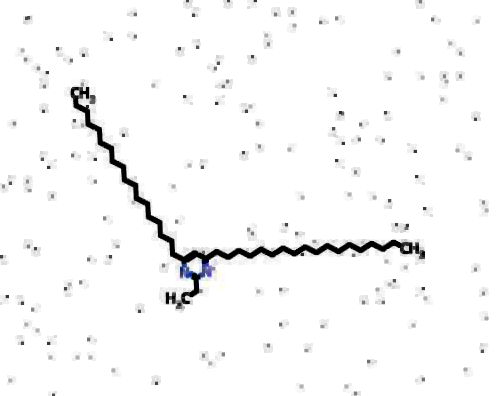 C[CH]c1nc(CCCCCCCCCCCCCCCCCC)cc(CCCCCCCCCCCCCCCCCC)n1